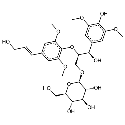 COc1cc([C@@H](O)[C@@H](CO[C@@H]2O[C@H](CO)[C@@H](O)[C@H](O)[C@H]2O)Oc2c(OC)cc(/C=C/CO)cc2OC)cc(OC)c1O